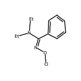 CCN(CC)/C(=N/OCl)c1ccccc1